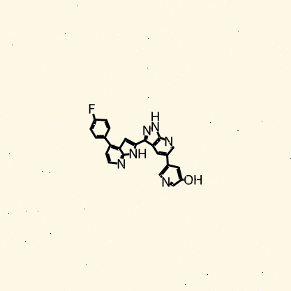 Oc1cncc(-c2cnc3[nH]nc(-c4cc5c(-c6ccc(F)cc6)ccnc5[nH]4)c3c2)c1